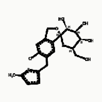 Cc1ccc(Cc2cc3c(cc2Cl)CO[C@]32S[C@H](CO)[C@@H](O)[C@H](O)[C@H]2O)s1